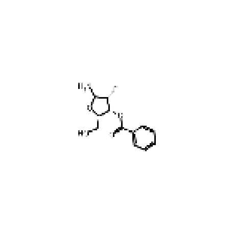 NC1O[C@H](CO)[C@@H](OC(=O)c2ccccc2)[C@H]1F